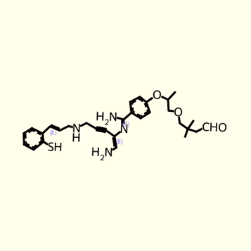 CC(COCC(C)(C)CC=O)Oc1ccc(/C(N)=N/C(C#CCNC/C=C/c2ccccc2S)=C/N)cc1